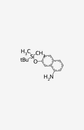 CC(C)(C)[Si](C)(C)Oc1ccc2cccc(N)c2c1